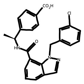 C[C@H](NC(=O)c1cccc2cnn(Cc3cccc(Cl)c3)c12)c1ccc(C(=O)O)cc1